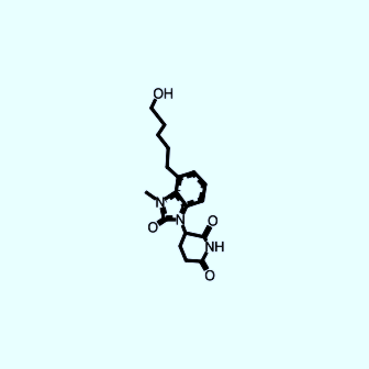 Cn1c(=O)n(C2CCC(=O)NC2=O)c2cccc(CCCCCO)c21